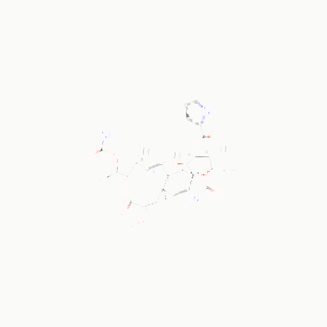 CO[C@H]1C[C@H]2C=C[C@]3(C)C[C@]2(O[C@H]3[C@H](OC(=O)c2ccc[nH]2)[C@H](C)[C@H](C)OC(N)=O)/C(C)=C/[C@@H](C)[C@@H]([C@@H](C)OC(N)=O)OC1=O